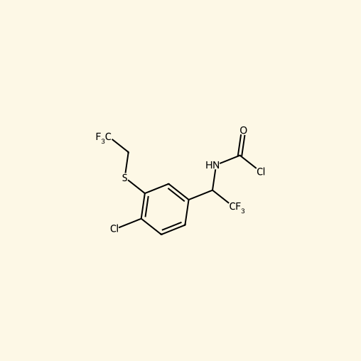 O=C(Cl)NC(c1ccc(Cl)c(SCC(F)(F)F)c1)C(F)(F)F